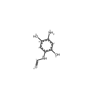 Nc1cc(O)c(NC=O)cc1O